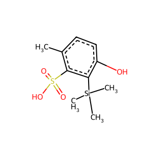 Cc1ccc(O)c([Si](C)(C)C)c1S(=O)(=O)O